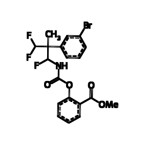 COC(=O)c1ccccc1OC(=O)NC(F)C(C)(c1cccc(Br)c1)C(F)F